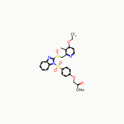 COC(=O)COc1ccc(S(=O)(=O)n2c([S+]([O-])Cc3nccc(OCC(F)(F)F)c3C)nc3ccccc32)cc1